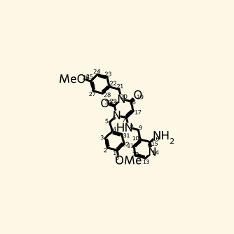 COc1ccc(Cn2c(NCc3cccnc3N)cc(=O)n(Cc3ccc(OC)cc3)c2=O)cc1